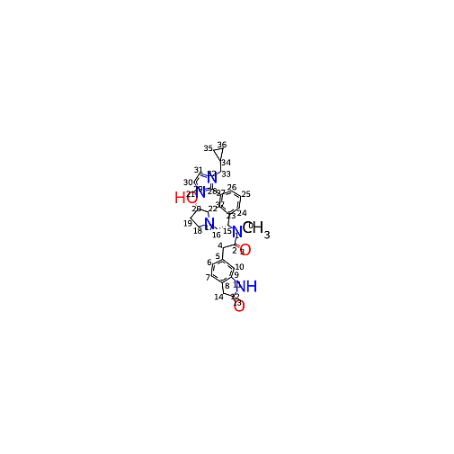 CN(C(=O)Cc1ccc2c(c1)NC(=O)C2)[C@H](CN1CC[C@H](O)C1)c1cccc(-c2nccn2CC2CC2)c1